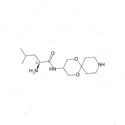 CC(C)C[C@H](N)C(=O)NC1COC2(CCNCC2)OC1